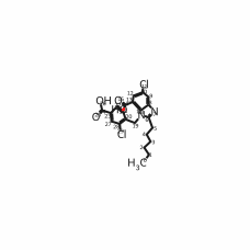 CCCCCCc1nc2cc(Cl)cc(C(=O)O)c2n1Cc1ccc(C(=O)O)cc1Cl